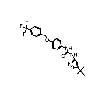 CC(C)(C)c1cc(NC(=O)Nc2ccc(OCc3ccc(C(F)(F)F)cc3)cc2)no1